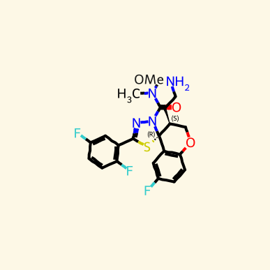 CON(C)C(=O)N1N=C(c2cc(F)ccc2F)S[C@]12c1cc(F)ccc1OC[C@@H]2CCN